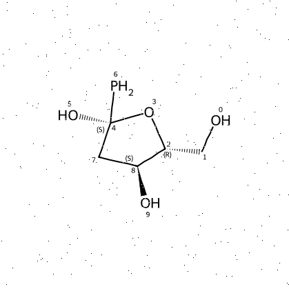 OC[C@H]1O[C@](O)(P)C[C@@H]1O